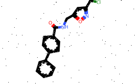 O=C(NCc1cc(CCl)no1)c1ccc(-c2ccccc2)cc1